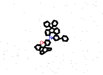 c1ccc(-c2ccc(N(c3ccc4c(c3)Oc3ccccc3C43c4ccccc4-c4ccccc43)c3cccc4c3-c3ccccc3C4(c3ccccc3)c3ccccc3)cc2)cc1